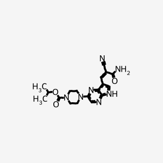 CC(C)OC(=O)N1CCN(c2cnc3[nH]cc(C=C(C#N)C(N)=O)c3n2)CC1